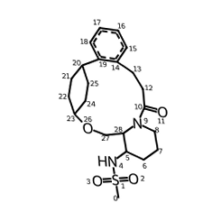 CS(=O)(=O)NC1CCCN2C(=O)CCc3ccccc3C3CCC(CC3)OCC12